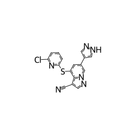 N#Cc1cnn2cc(-c3cn[nH]c3)cc(Sc3cccc(Cl)n3)c12